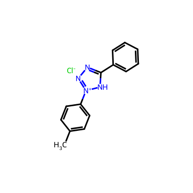 Cc1ccc(-[n+]2nnc(-c3ccccc3)[nH]2)cc1.[Cl-]